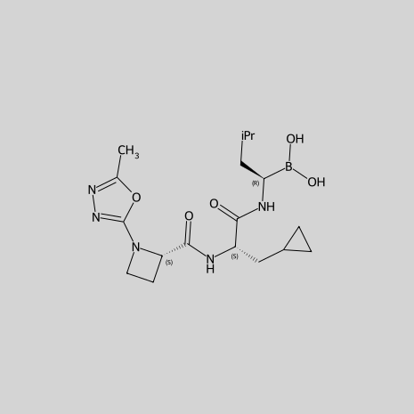 Cc1nnc(N2CC[C@H]2C(=O)N[C@@H](CC2CC2)C(=O)N[C@@H](CC(C)C)B(O)O)o1